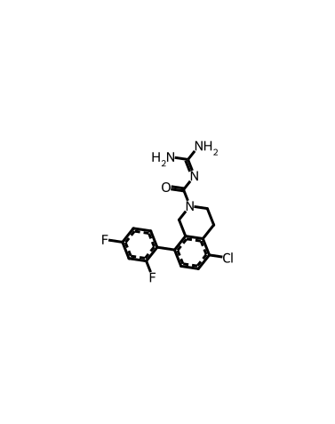 NC(N)=NC(=O)N1CCc2c(Cl)ccc(-c3ccc(F)cc3F)c2C1